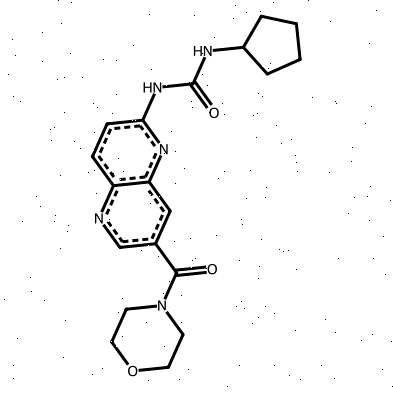 O=C(Nc1ccc2ncc(C(=O)N3CCOCC3)cc2n1)NC1CCCC1